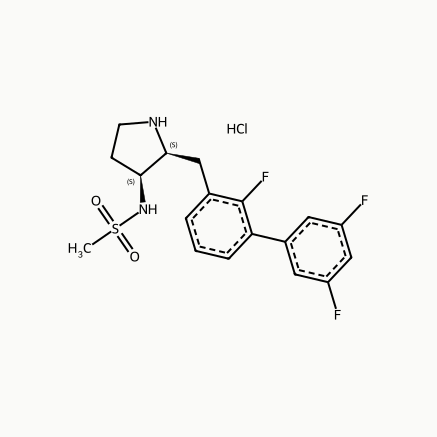 CS(=O)(=O)N[C@H]1CCN[C@H]1Cc1cccc(-c2cc(F)cc(F)c2)c1F.Cl